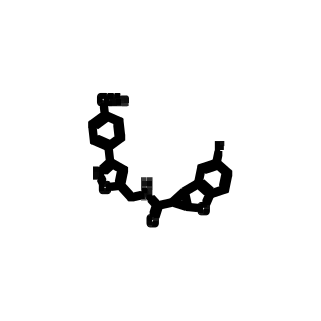 COc1ccc(-c2cc(CNC(=O)C3C4Oc5ccc(F)cc5C43)on2)cc1